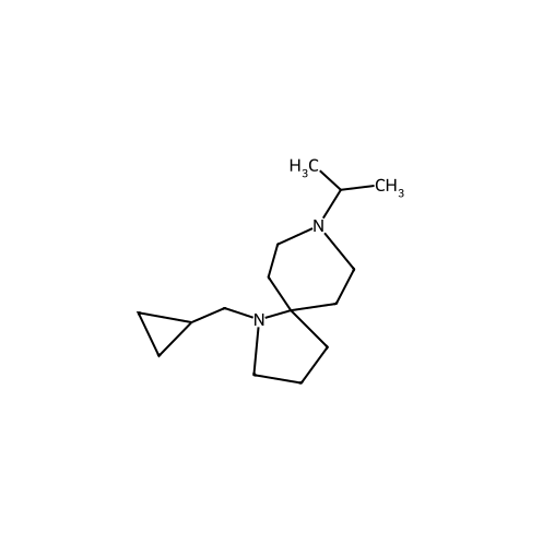 CC(C)N1CCC2(CCCN2CC2CC2)CC1